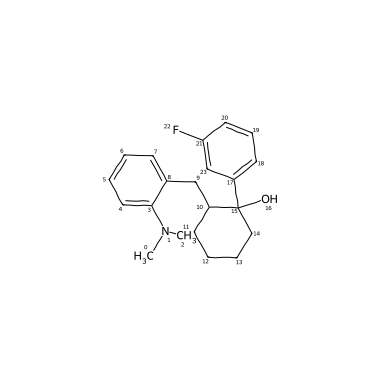 CN(C)c1ccccc1CC1CCCCC1(O)c1cccc(F)c1